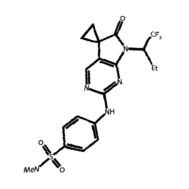 CCC(N1C(=O)C2(CC2)c2cnc(Nc3ccc(S(=O)(=O)NC)cc3)nc21)C(F)(F)F